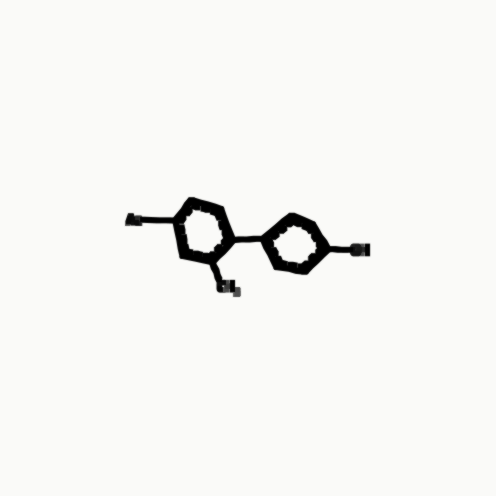 CC(=O)c1ccc(-c2ccc(O)cc2)c(C)c1